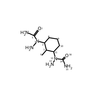 CC1C(N(N)C(N)=O)CCCC1N(N)C(N)=O